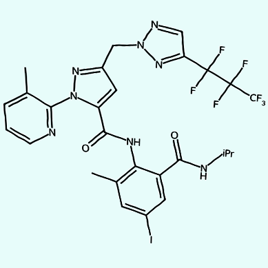 Cc1cccnc1-n1nc(Cn2ncc(C(F)(F)C(F)(F)C(F)(F)F)n2)cc1C(=O)Nc1c(C)cc(I)cc1C(=O)NC(C)C